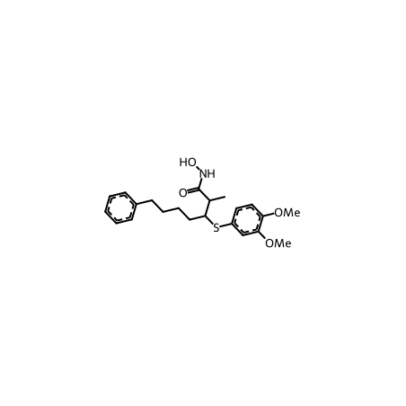 COc1ccc(SC(CCCCc2ccccc2)C(C)C(=O)NO)cc1OC